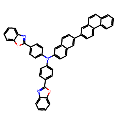 c1ccc2c(c1)ccc1cc(-c3ccc4cc(N(c5ccc(-c6nc7ccccc7o6)cc5)c5ccc(-c6nc7ccccc7o6)cc5)ccc4c3)ccc12